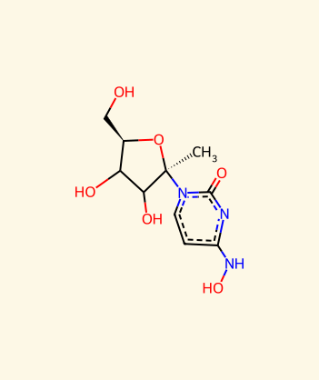 C[C@@]1(n2ccc(NO)nc2=O)O[C@H](CO)C(O)C1O